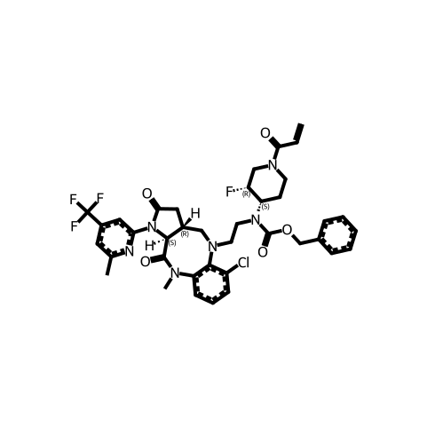 C=CC(=O)N1CC[C@H](N(CCN2C[C@H]3CC(=O)N(c4cc(C(F)(F)F)cc(C)n4)[C@@H]3C(=O)N(C)c3cccc(Cl)c32)C(=O)OCc2ccccc2)[C@H](F)C1